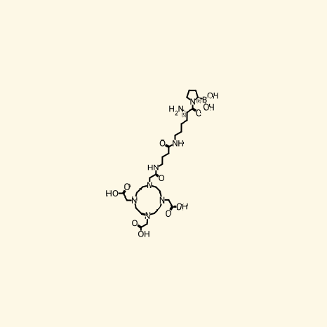 N[C@@H](CCCCNC(=O)CCCNC(=O)CN1CCN(CC(=O)O)CCN(CC(=O)O)CCN(CC(=O)O)CC1)C(=O)N1CCC[C@H]1B(O)O